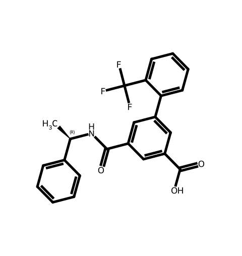 C[C@@H](NC(=O)c1cc(C(=O)O)cc(-c2ccccc2C(F)(F)F)c1)c1ccccc1